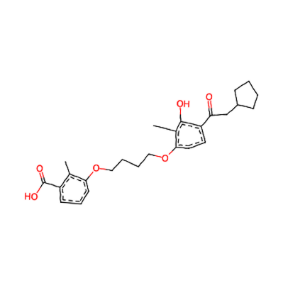 Cc1c(OCCCCOc2ccc(C(=O)CC3CCCC3)c(O)c2C)cccc1C(=O)O